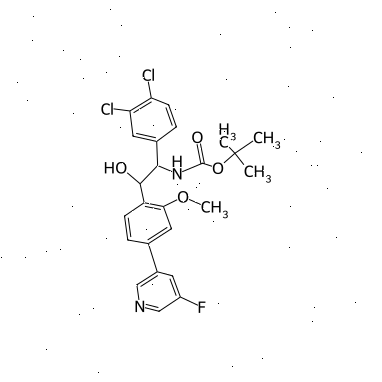 COc1cc(-c2cncc(F)c2)ccc1C(O)C(NC(=O)OC(C)(C)C)c1ccc(Cl)c(Cl)c1